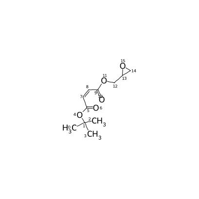 CC(C)(C)OC(=O)/C=C\C(=O)OCC1CO1